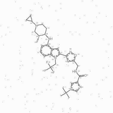 CC(C)(C)n1cnc(C(=O)NCc2nc(-c3cc4c(N[C@@H]5CCN(C6CC6)C[C@@H]5F)cccc4n3CC(F)(F)F)no2)c1